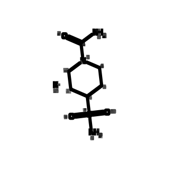 NC(=O)N1CCC(S(N)(=O)=O)CC1.[K]